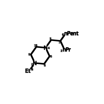 CCCCCC(CCC)CN1CCN(CC)CC1